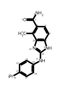 Cc1c(C(N)=O)ccc2[nH]c(Nc3ccc(C(C)C)cc3)nc12